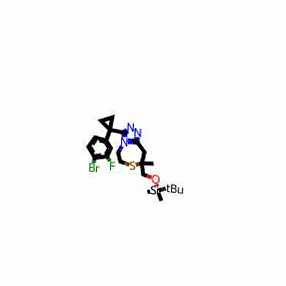 CC1(CO[Si](C)(C)C(C)(C)C)Cc2nnc(C3(c4ccc(Br)c(F)c4)CC3)n2CCS1